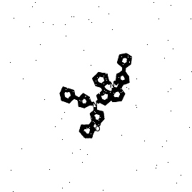 c1ccc(-c2ccc(N(c3cccc(-c4ccccc4-n4c5ccccc5c5ccc(-c6ccccc6)cc54)c3)c3ccc4oc5ccccc5c4c3)cc2)cc1